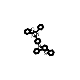 c1ccc(-c2nc(-c3ccc(-n4c5ccccc5c5c6sc7ccccc7c6ccc54)cc3)nc3c2oc2ccccc23)cc1